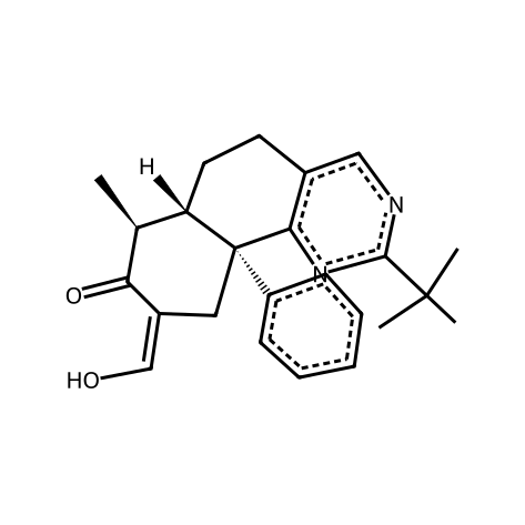 C[C@@H]1C(=O)C(=CO)C[C@]2(c3ccccc3)c3nc(C(C)(C)C)ncc3CC[C@@H]12